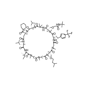 CC[C@H](C)[C@@H]1NC(=O)[C@H](CC(C)C)N(C)C(=O)C[C@@H](C(=O)N2CCCCC2)N(C)C(=O)[C@H](CC(C)C)N(C)C(=O)C(C)(C)NC(=O)[C@H](COCC(=O)NC(C)(C)C)N(C)C(=O)[C@H](CCc2ccc(C(F)(F)F)cc2)NC(=O)CN(C)C(=O)[C@H](COCCC(C)C)N(C)C(=O)CN(C)C(=O)CN(C)C1=O